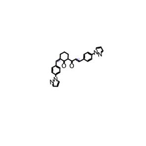 O=C(/C=C/c1ccc(-n2cccn2)cc1)C1CCC/C(=C/c2ccc(-n3cccn3)cc2)C1=O